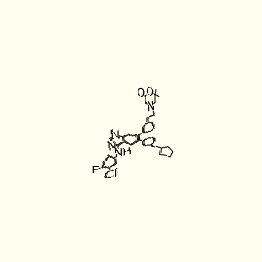 CC1(C)CN(CCOc2cc3ncnc(Nc4ccc(F)c(Cl)c4)c3cc2OCC2CCCC2)CC(=O)O1